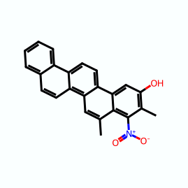 Cc1c(O)cc2c(c(C)cc3c2ccc2c4ccccc4ccc23)c1[N+](=O)[O-]